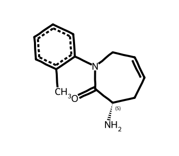 Cc1ccccc1N1CC=CC[C@H](N)C1=O